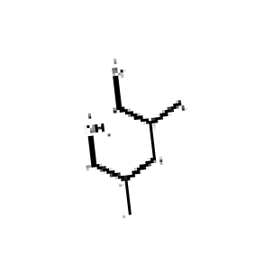 CC(CN)CC(C)CBr